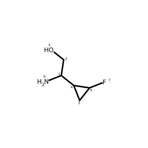 NC(CO)C1CC1F